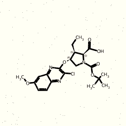 CC[C@@H]1[C@@H](Oc2nc3cc(OC)ccc3nc2Cl)CN(C(=O)OC(C)(C)C)[C@@H]1C(=O)O